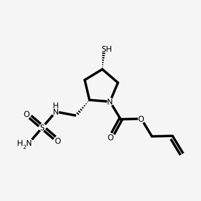 C=CCOC(=O)N1C[C@@H](S)C[C@H]1CNS(N)(=O)=O